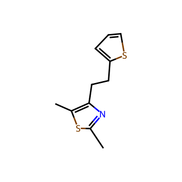 Cc1nc(CCc2cccs2)c(C)s1